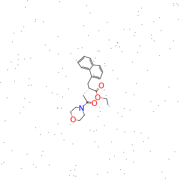 CCOC(=O)[C@H](CC(=O)N1CCOCC1)Cc1cccc2ccccc12